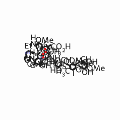 C#C/C=C\C#C[C@H](O[C@@H]1O[C@H](C)[C@@H](NO[C@H]2C[C@H](O)[C@H](SC(=O)c3c(C)c(I)c(O[C@@H]4O[C@@H](C)[C@H](O)[C@@H](OC)[C@H]4O)c(OC)c3OC)[C@@H](C)O2)[C@H](O)[C@H]1O[C@H]1C[C@H](OC)[C@@H](NCC)CO1)C1=C(NC(=O)OC)C(=O)C[C@](C)(O)/C1=C/CSSC(C)(C)CC(=O)O